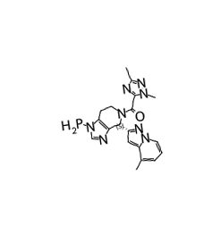 Cc1nc(C(=O)N2CCc3c(ncn3P)[C@H]2c2cc3c(C)cccn3n2)n(C)n1